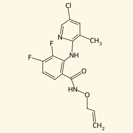 C=CCONC(=O)c1ccc(F)c(F)c1Nc1ncc(Cl)cc1C